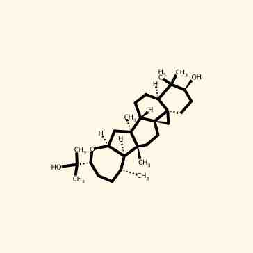 C[C@@H]1CC[C@H](C(C)(C)O)O[C@H]2C[C@@]3(C)[C@@H]4CC[C@H]5C(C)(C)[C@@H](O)CC[C@@]56C[C@@]46CC[C@]3(C)[C@@H]12